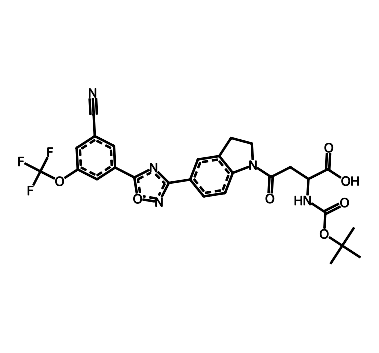 CC(C)(C)OC(=O)NC(CC(=O)N1CCc2cc(-c3noc(-c4cc(C#N)cc(OC(F)(F)F)c4)n3)ccc21)C(=O)O